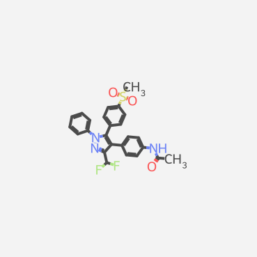 CC(=O)Nc1ccc(-c2c(C(F)F)nn(-c3ccccc3)c2-c2ccc(S(C)(=O)=O)cc2)cc1